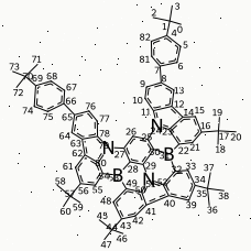 CC(C)(C)c1ccc(-c2ccc3c(c2)c2cc(C(C)(C)C)cc4c2n3-c2cc3c5c6c2B4c2cc(C(C)(C)C)cc4c7cc(C(C)(C)C)cc(c7n-6c24)B5c2cc(C(C)(C)C)cc4c5cc(-c6ccc(C(C)(C)C)cc6)ccc5n-3c24)cc1